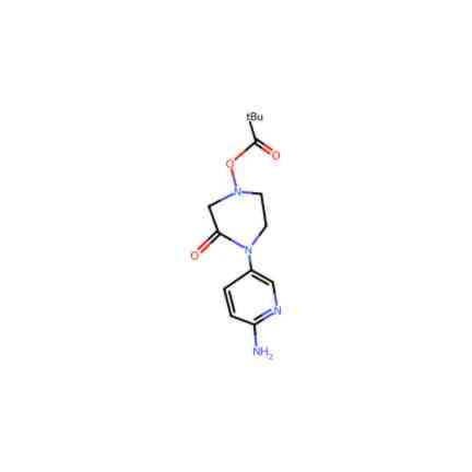 CC(C)(C)C(=O)ON1CCN(c2ccc(N)nc2)C(=O)C1